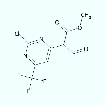 COC(=O)C(C=O)c1cc(C(F)(F)F)nc(Cl)n1